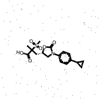 CC(C[C@H]1CN(c2ccc(C3CC3)cc2)C(=O)O1)(C(=O)O)S(C)(=O)=O